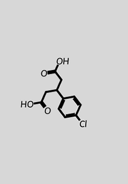 O=C(O)CC(CC(=O)O)c1ccc(Cl)cc1